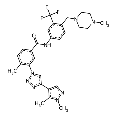 Cc1ccc(C(=O)Nc2ccc(CN3CCN(C)CC3)c(C(F)(F)F)c2)cc1-n1cc(-c2cnn(C)c2C)nn1